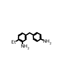 CCc1ccc(Cc2ccc(N)cc2)cc1N